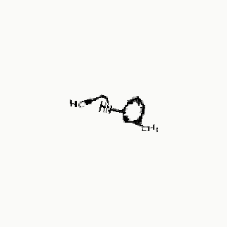 C#CCNc1cccc(C)c1